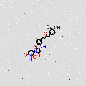 Cc1ccc(CC(=O)CCc2cccc(NC3=CC(=O)N(C4CCC(=O)NC4=O)C3=O)c2)cc1Cl